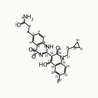 NC(=O)CCc1ccc2c(c1)S(=O)(=O)N=C(c1c(O)c3cc(F)ccc3n(CCC3CC3)c1=O)N2